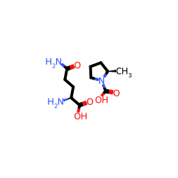 C[C@@H]1CCCN1C(=O)O.NC(=O)CC[C@H](N)C(=O)O